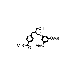 COC(=O)c1ccc(C=C(CO)COc2cc(OC)cc(OC)c2)cc1